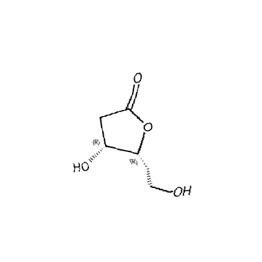 O=C1C[C@@H](O)[C@@H](CO)O1